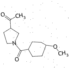 COC1CCC(C(=O)N2CCC(C(C)=O)C2)CC1